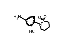 Cl.Nc1ccc(N2CCCCS2(=O)=O)cc1